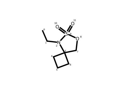 CCN1C2(CCC2)COS1(=O)=O